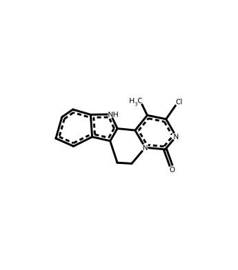 Cc1c(Cl)nc(=O)n2c1-c1[nH]c3ccccc3c1CC2